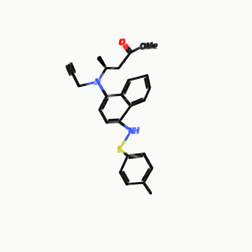 C#CCN(c1ccc(NSc2ccc(C)cc2)c2ccccc12)[C@@H](C)CC(=O)OC